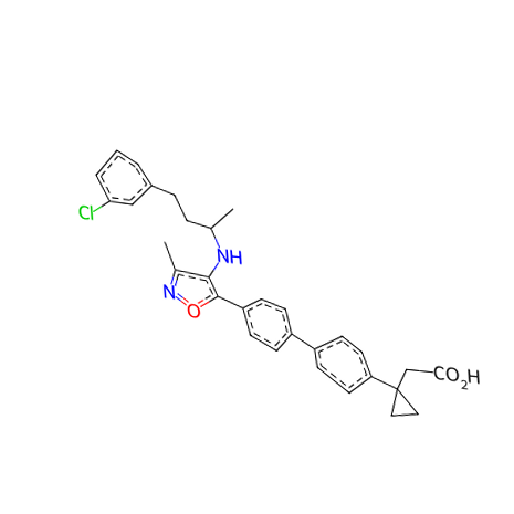 Cc1noc(-c2ccc(-c3ccc(C4(CC(=O)O)CC4)cc3)cc2)c1NC(C)CCc1cccc(Cl)c1